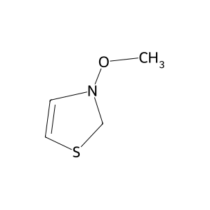 CON1C=CSC1